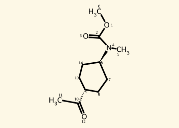 COC(=O)N(C)[C@H]1CC[C@H](C(C)=O)CC1